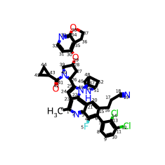 Cc1nc2c(F)c(-c3cccc(Cl)c3Cl)c(CCC#N)cc2c2c1cc(C1CC(Oc3ccnc4c3CCO4)CN1C(=O)C1CC1)n2C1C2CNC1C2